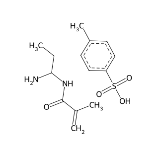 C=C(C)C(=O)NC(N)CC.Cc1ccc(S(=O)(=O)O)cc1